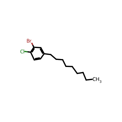 CCCCCCCCCc1ccc(Cl)c(Br)c1